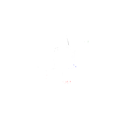 CC(=O)c1cc(C)c(Cl)nc1O